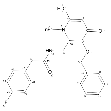 CCCn1c(C)cc(=O)c(OCc2ccccc2)c1CNC(=O)Cc1ccc(F)cc1